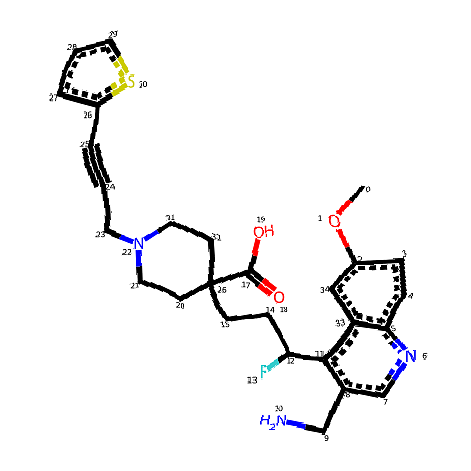 COc1ccc2ncc(CN)c(C(F)CCC3(C(=O)O)CCN(CC#Cc4cccs4)CC3)c2c1